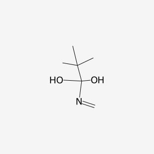 C=NC(O)(O)C(C)(C)C